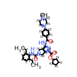 CCc1cccc(CC)c1NC(=O)N1Cc2c(NC(=O)c3ccc(N4CCN(C)CC4)cc3)nn(C(=O)OC3CCCC3)c2C1